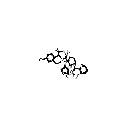 NC(=O)C1c2ccc(Cl)cc2CCN1C(=O)[C@]1(Oc2csc(C(F)(F)F)c2)CCCN(C(=O)c2ncccc2C(F)(F)F)[C@@H]1CC(=O)O